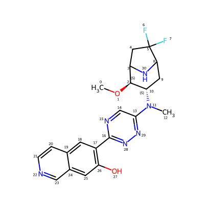 CO[C@H]1C2CC(F)(F)C(C[C@@H]1N(C)c1cnc(-c3cc4ccncc4cc3O)nn1)N2